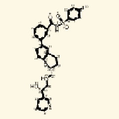 O=C(NS(=O)(=O)c1ccc(F)cc1)c1cccc(-c2ccc3c(c2)CC[C@H](CNC[C@@H](O)c2cccnc2)O3)c1